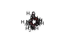 COCCOCCNC(=O)[C@@H]1CSCC(=O)N[C@@H](CCCCN)C(=O)N[C@@H](CS)C(=O)N[C@@H](CCCNC(=N)N)C(=O)NCC(=O)N[C@@H](CC(=O)O)C(=O)N[C@@H](CS)C(=O)N[C@@H](Cc2ccccc2)C(=O)N1